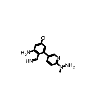 CN(N)c1ccc(-c2cc(Cl)cc(N)c2C=N)cn1